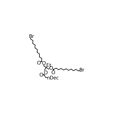 CCCCCCCCCCCC(=O)OCC(CC)(COC(=O)CCCCCCCCCCBr)COC(=O)CCCCCCCCCCBr